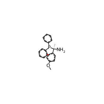 COc1ccc([C@](C)(N)P(c2ccccc2)c2ccccc2)cc1